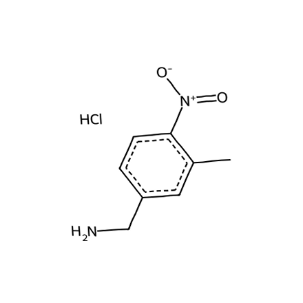 Cc1cc(CN)ccc1[N+](=O)[O-].Cl